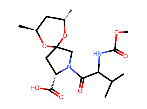 COC(=O)NC(C(=O)N1CC2(C[C@H]1C(=O)O)O[C@@H](C)C[C@H](C)O2)C(C)C